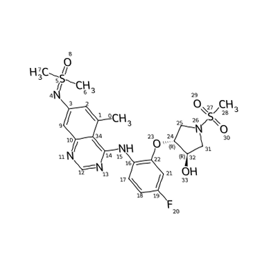 Cc1cc(N=S(C)(C)=O)cc2ncnc(Nc3ccc(F)cc3O[C@@H]3CN(S(C)(=O)=O)C[C@H]3O)c12